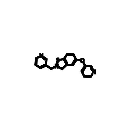 c1cncc(CN2Cc3cc(Oc4cccnc4)ccc3S2)c1